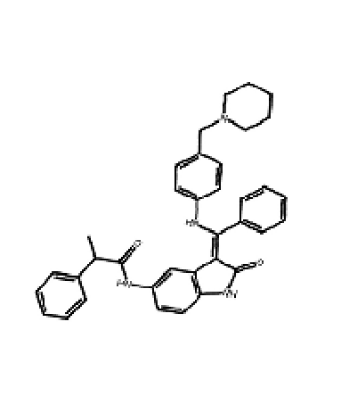 CC(C(=O)Nc1ccc2c(c1)C(=C(Nc1ccc(CN3CCCCC3)cc1)c1ccccc1)C(=O)N2)c1ccccc1